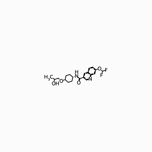 CC(O)CO[C@H]1CC[C@H](NC(=O)c2cnc3cc(OC(F)F)ccc3c2)CC1